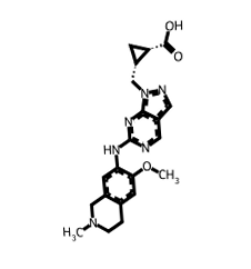 COc1cc2c(cc1Nc1ncc3cnn(C[C@@H]4C[C@@H]4C(=O)O)c3n1)CN(C)CC2